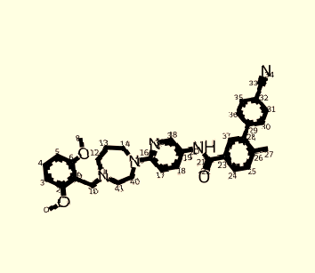 COc1cccc(OC)c1CN1CCCN(c2ccc(NC(=O)c3ccc(C)c(-c4ccc(C#N)cc4)c3)cn2)CC1